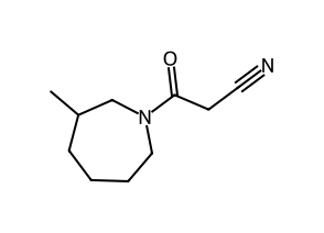 CC1CCCCN(C(=O)CC#N)C1